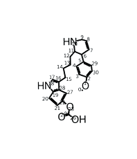 COc1ccc(C2C=CCNC2CCCCc2c[nH]c3ccc(OC(=O)O)cc23)cc1